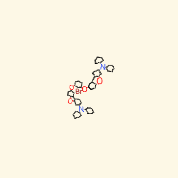 Brc1c(Oc2ccc3oc4cc(N(c5ccccc5)c5ccccc5)ccc4c3c2)cccc1Oc1ccc2oc3cc(N(c4ccccc4)c4ccccc4)ccc3c2c1